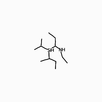 CCNC(CC)[SiH](C(C)C)C(C)CC